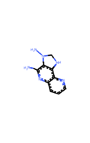 Nc1nc2cccnc2c2c1N(N)CN2